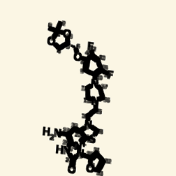 CC1(C)OC[C@@H](COc2cc(N3CCN(CCN4CSc5c4cc(N)c4[nH]c(=O)n(-c6ccco6)[n+]54)CC3)c(F)cc2F)O1